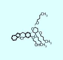 CCCCOC[C@@H]1C[C@H](OCCCC)[C@@H](OCCCC)[C@H](c2cc(Cc3cc4ccccc4s3)c(Cl)cc2OCCO)O1